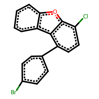 Clc1ccc(-c2ccc(Br)cc2)c2c1oc1ccccc12